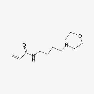 C=CC(=O)NCCCCN1CCOCC1